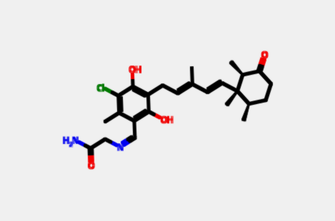 CC(/C=C/[C@@]1(C)[C@H](C)CCC(=O)[C@@H]1C)=C\Cc1c(O)c(Cl)c(C)c(/C=N\CC(N)=O)c1O